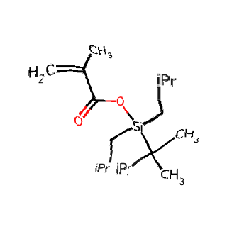 C=C(C)C(=O)O[Si](CC(C)C)(CC(C)C)C(C)(C)C(C)C